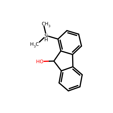 C[SiH](C)c1cccc2c1C(O)c1ccccc1-2